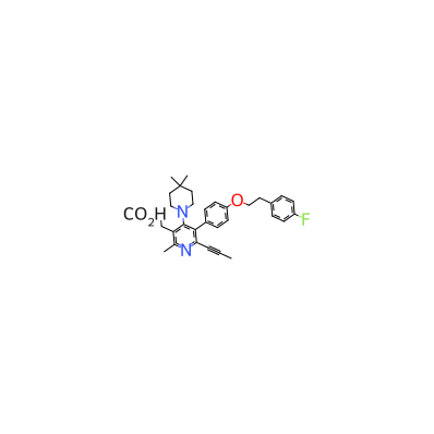 CC#Cc1nc(C)c(CC(=O)O)c(N2CCC(C)(C)CC2)c1-c1ccc(OCCc2ccc(F)cc2)cc1